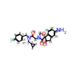 C[C@@H](C1CC1)N(Cc1ccc(F)cc1)C(=O)CN1CO[C@@]2(C(=O)Cc3cc(N)ccc32)C1=O